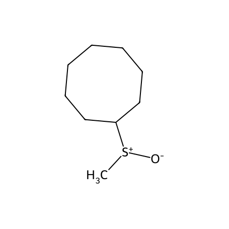 C[S+]([O-])C1CCCCCCC1